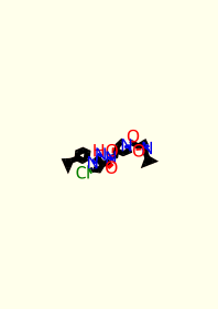 O=C(c1cnc(C2CC2)o1)N1CCC(O)(Cn2cnc3c(cc(Cl)n3-c3cccc(C4CC4)c3)c2=O)CC1